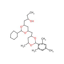 CCC(O)CC1CC(CC2CC(C)OC(c3c(C)cc(C)cc3C)O2)OC(C2CCCCC2)O1